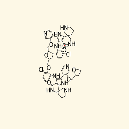 COc1c(Cl)cccc1Nc1c(-c2ccncc2OC[C@H]2CCC(COc3c(Cl)cccc3Nc3c(-c4ccncc4OCC4CCCO4)[nH]c4c3C(=O)NCC43CCCNC3)O2)[nH]c2c1C(=O)NC[C@@]21CCCNC1